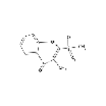 Cc1c(S(C)(=O)=O)oc2ccccc2c1=O